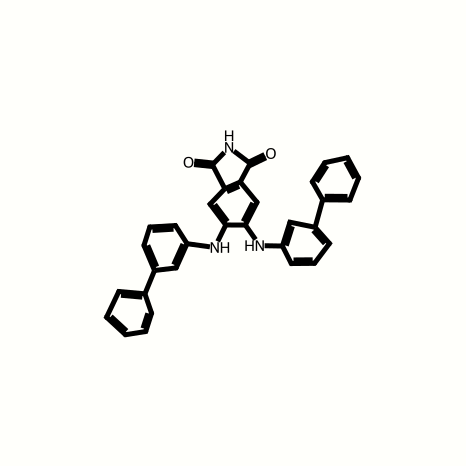 O=C1NC(=O)c2cc(Nc3cccc(-c4ccccc4)c3)c(Nc3cccc(-c4ccccc4)c3)cc21